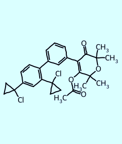 CC(=O)OC1=C(c2cccc(-c3ccc(C4(Cl)CC4)cc3C3(Cl)CC3)c2)C(=O)C(C)(C)OC1(C)C